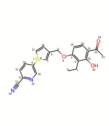 CCc1c(OCC2=C[SH](c3ccc(C#N)nc3)C=C2)ccc(C(C)=O)c1O